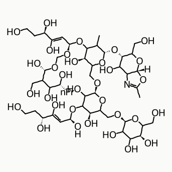 CCC[C@@H](O)C(O)C(CO)[C@H](O)OCO[C@@H](/C=C(\O)[C@H](O)CCO)OC1C(C)[C@H](O[C@@H]2C(CO)O[C@@H]3OC(C)=NC3C2O)OC(CO[C@H]2OC(CO[C@H]3OC(CO)[C@@H](O)C(O)C3O)[C@@H](O)C(O[C@@H](O)/C=C(\O)[C@H](O)CCO)C2O)[C@H]1O